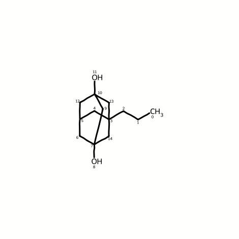 CCCC12CC3CC(O)(CC(O)(C3)C1)C2